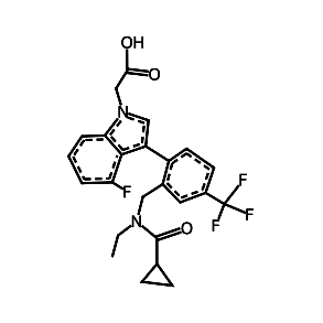 CCN(Cc1cc(C(F)(F)F)ccc1-c1cn(CC(=O)O)c2cccc(F)c12)C(=O)C1CC1